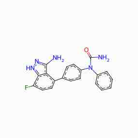 NC(=O)N(c1ccccc1)c1ccc(-c2ccc(F)c3[nH]nc(N)c23)cc1